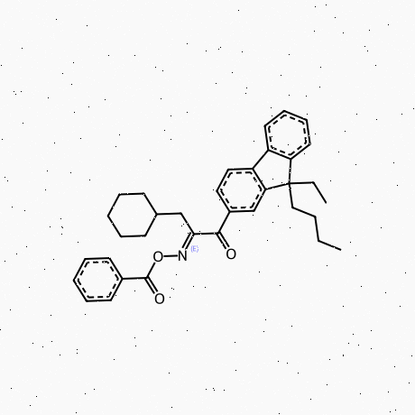 CCCCC1(CC)c2ccccc2-c2ccc(C(=O)/C(CC3CCCCC3)=N/OC(=O)c3ccccc3)cc21